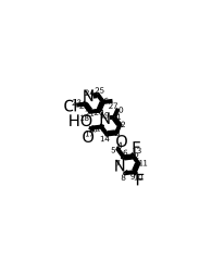 CC1=CC(OCc2ncc(F)cc2F)=CC(C(=O)O)N1c1cc(Cl)ncc1C